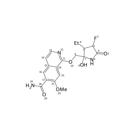 CCC1C(F)C(=O)NC1(O)COc1nccc2cc(C(N)=O)c(OC)cc12